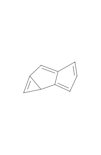 C1=CC2=CC3=CC3C2=C1